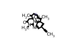 C=C(/C=C\c1sc2ccc(C#CC)cc2c1C)[C@]1(C)CC(=O)N(C)C(=N)N1